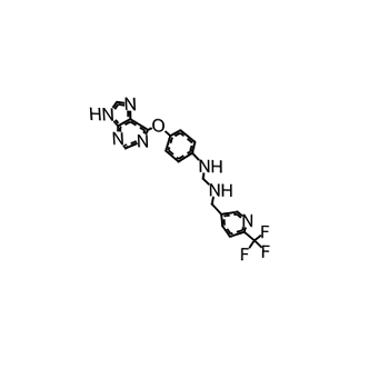 FC(F)(F)c1ccc(CNCNc2ccc(Oc3ncnc4[nH]cnc34)cc2)cn1